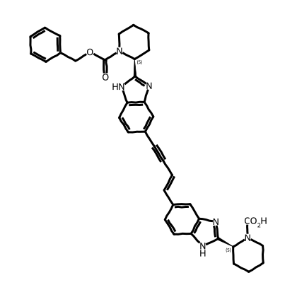 O=C(O)N1CCCC[C@H]1c1nc2cc(C=CC#Cc3ccc4[nH]c([C@@H]5CCCCN5C(=O)OCc5ccccc5)nc4c3)ccc2[nH]1